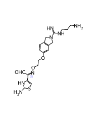 N=C(NCCCN)N1Cc2ccc(OCCO/N=C(\C=O)C3=CSC(N)N3)cc2C1